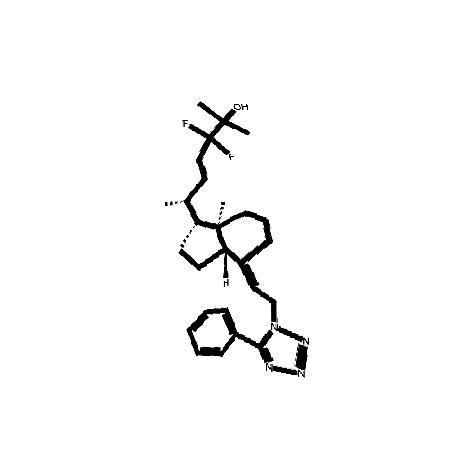 C[C@H](CCC(F)(F)C(C)(C)O)[C@H]1CC[C@H]2/C(=C/Cn3nnnc3-c3ccccc3)CCC[C@]12C